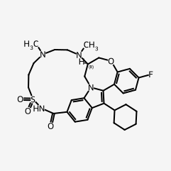 CN1CCCS(=O)(=O)NC(=O)c2ccc3c(C4CCCCC4)c4n(c3c2)C[C@H](COc2cc(F)ccc2-4)N(C)CC1